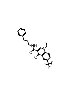 CCn1cc(C(=O)NCCCc2ccccc2)c(=O)c2cc(C(F)(F)F)ccc21